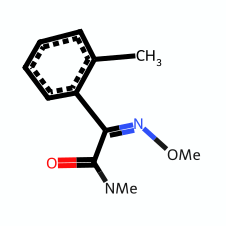 CNC(=O)C(=NOC)c1ccccc1C